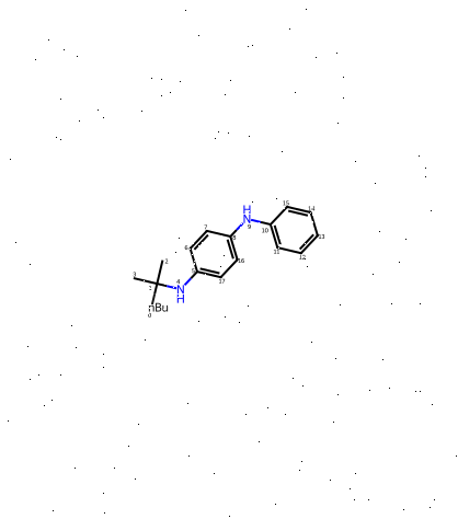 CCCCC(C)(C)Nc1ccc(Nc2ccccc2)cc1